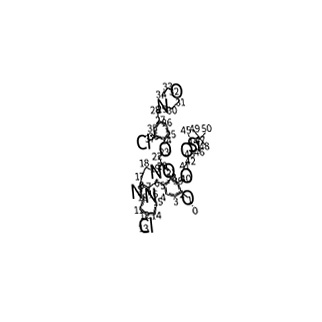 COc1ccc(C2c3c(nc4cc(Cl)ccn34)CCN2C(=O)COc2ccc(CN3CCOCC3)cc2Cl)cc1OCCO[Si](C)(C)C(C)(C)C